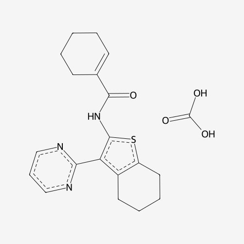 O=C(Nc1sc2c(c1-c1ncccn1)CCCC2)C1=CCCCC1.O=C(O)O